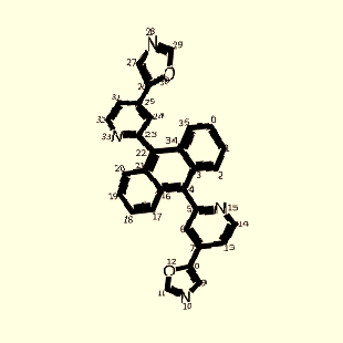 c1ccc2c(-c3cc(-c4cnco4)ccn3)c3ccccc3c(-c3cc(-c4cnco4)ccn3)c2c1